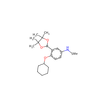 CSNc1ccc(OC2CCCCC2)c(B2OC(C)(C)C(C)(C)O2)c1